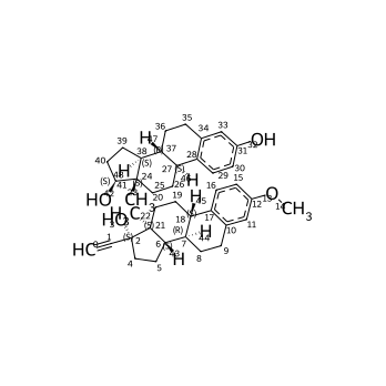 C#C[C@]1(O)CC[C@H]2[C@@H]3CCc4cc(OC)ccc4[C@H]3CC[C@@]21C.C[C@]12CC[C@@H]3c4ccc(O)cc4CC[C@H]3[C@@H]1CC[C@@H]2O